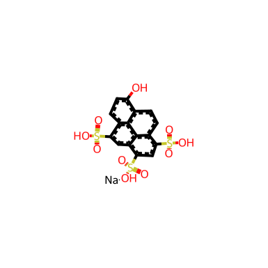 O=S(=O)(O)c1cc2c(S(=O)(=O)O)cc(S(=O)(=O)O)c3ccc4c(O)ccc1c4c32.[Na]